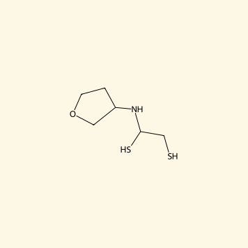 SCC(S)NC1CCOC1